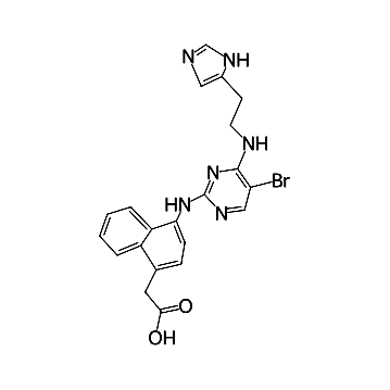 O=C(O)Cc1ccc(Nc2ncc(Br)c(NCCc3cnc[nH]3)n2)c2ccccc12